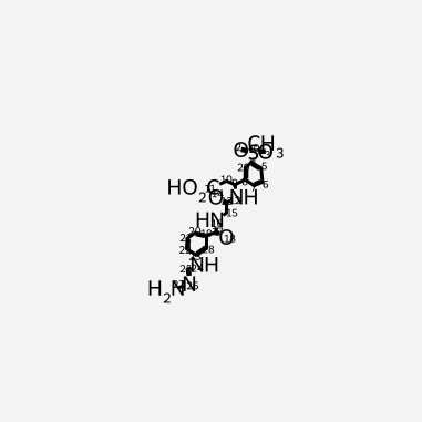 CS(=O)(=O)c1cccc(C(CC(=O)O)NC(=O)CNC(=O)c2cccc(NC=NN)c2)c1